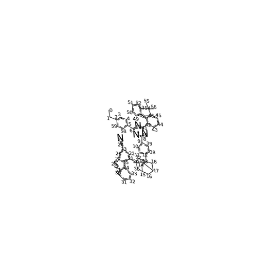 CCc1ccc(-c2nc(-c3ccc(C45CC6CC(C4)CC(c4cc(C#N)cc7sc8ccccc8c47)(C6)C5)cc3)nc(-c3cccc4c3-c3ccccc3C4(C)C)n2)cc1